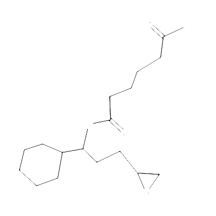 O=C(O)CCCCC(=O)OC(CCC1CO1)C1CCCCC1